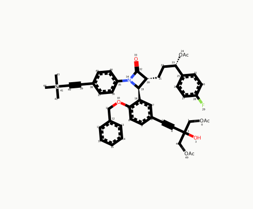 CC(=O)OCC(O)(C#Cc1ccc(OCc2ccccc2)c([C@@H]2[C@@H](CC[C@H](OC(C)=O)c3ccc(F)cc3)C(=O)N2c2ccc(C#C[Si](C)(C)C)cc2)c1)COC(C)=O